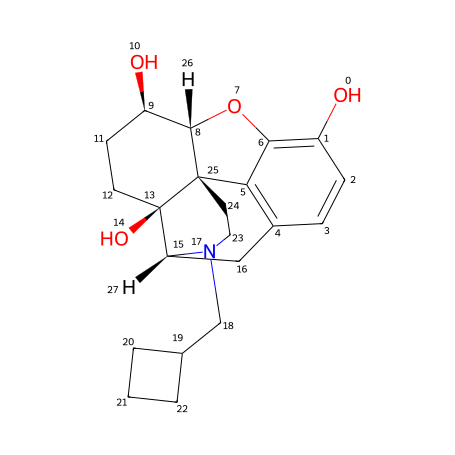 Oc1ccc2c3c1O[C@H]1[C@H](O)CC[C@@]4(O)[C@@H](C2)N(CC2CCC2)CC[C@]314